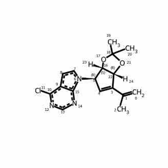 C=C(C)C1=C[C@@H](n2ccc3c(Cl)ncnc32)[C@@H]2OC(C)(C)O[C@H]12